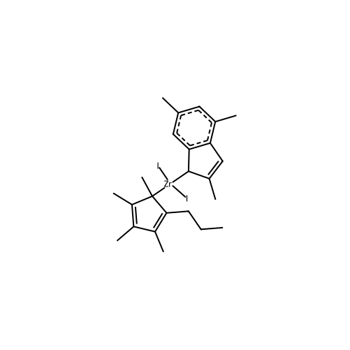 CCCC1=C(C)C(C)=C(C)[C]1(C)[Zr]([I])([I])[CH]1C(C)=Cc2c(C)cc(C)cc21